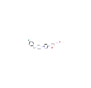 O=C1O[C@@H](CNC(O)=S)CN1c1ccc(N2CCN(Cc3ccc(C(F)(F)F)cc3)CC2)nc1